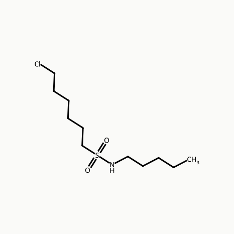 CCCCCNS(=O)(=O)CCCCCCCl